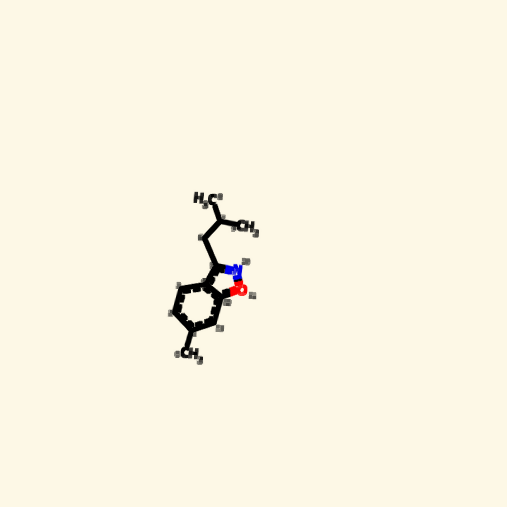 Cc1ccc2c(CC(C)C)noc2c1